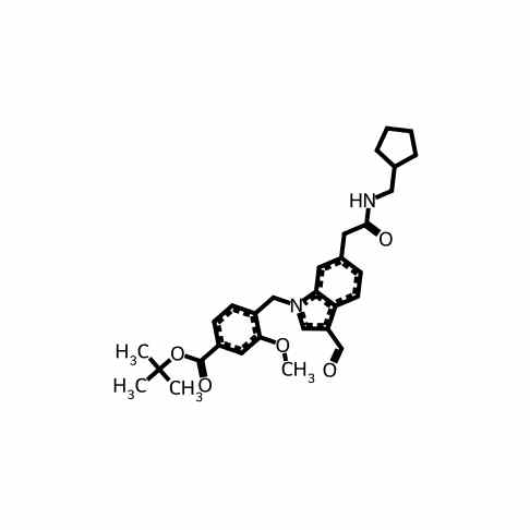 COc1cc(C(=O)OC(C)(C)C)ccc1Cn1cc(C=O)c2ccc(CC(=O)NCC3CCCC3)cc21